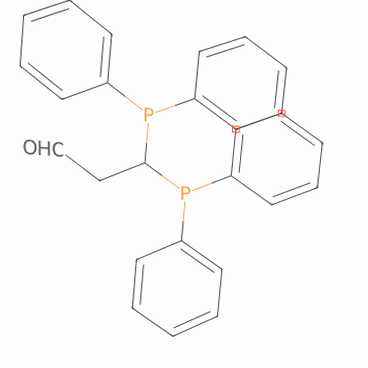 O=CCC(P(c1ccccc1)c1ccccc1)P(c1ccccc1)c1ccccc1